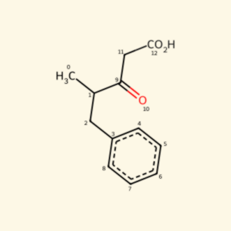 CC(Cc1ccccc1)C(=O)CC(=O)O